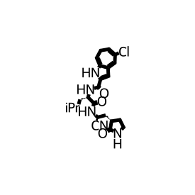 CC(C)C[C@H](NC(=O)c1cc2c([nH]1)=CCC=C(Cl)C=2)C(=O)N[C@H](C#N)C[C@@H]1CCNC1=O